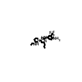 CCCc1cc(N2CCC[C@@H](NCC)C2)nc(Nc2ccc(N)c(C(F)(F)F)c2)n1